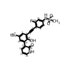 CC(C)(C)c1cc(C#Cc2ccc(NS(C)(=O)=O)cc2F)c(O)c(-c2ccc[nH]c2=O)c1